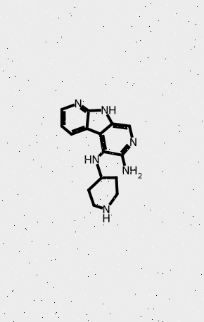 Nc1ncc2[nH]c3ncccc3c2c1NC1CCNCC1